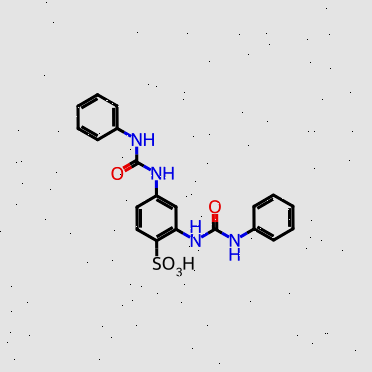 O=C(Nc1ccccc1)Nc1ccc(S(=O)(=O)O)c(NC(=O)Nc2ccccc2)c1